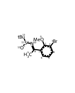 COc1c(Br)cccc1C(C)=N[S+]([O-])C(C)(C)C